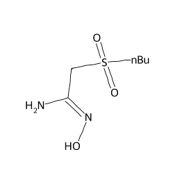 CCCCS(=O)(=O)CC(N)=NO